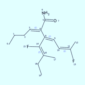 CCC\C=C(C(N)=O)/C(=C/C=C(\C)F)C(/F)=C(\C)CC